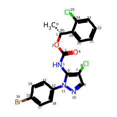 C[C@@H](OC(=O)Nc1c(Cl)cnn1-c1ccc(Br)cc1)c1ccccc1Cl